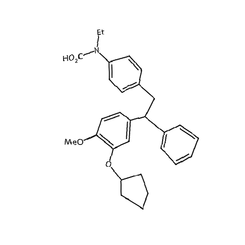 CCN(C(=O)O)c1ccc(CC(c2ccccc2)c2ccc(OC)c(OC3CCCC3)c2)cc1